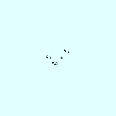 [Ag].[Au].[In].[Sn]